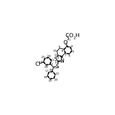 O=C(O)COc1cccc2c1CCc1sc(SC(c3ccccc3)c3cccc(Cl)c3)nc1-2